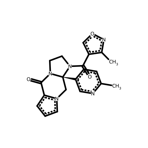 Cc1ccc([C@@]23Cn4cccc4C(=O)N2CCN3C(=O)c2conc2C)cn1